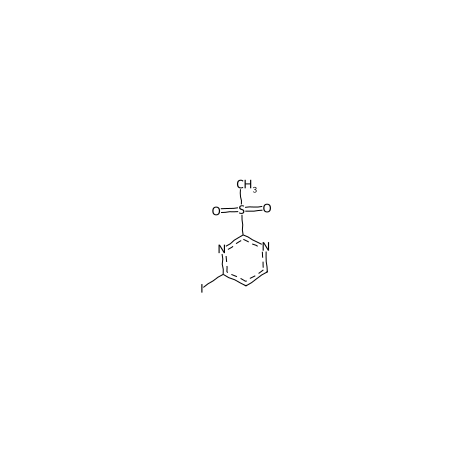 CS(=O)(=O)c1nccc(I)n1